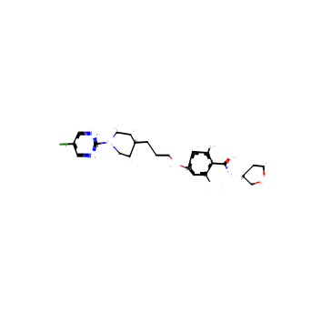 Cc1cc(OCCCC2CCN(c3ncc(Cl)cn3)CC2)cc(C)c1C(=O)N[C@@H]1CCOC1